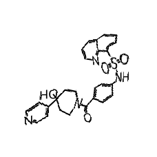 O=C(c1ccc(NS(=O)(=O)c2cccc3cccnc23)cc1)N1CCC(O)(c2ccncc2)CC1